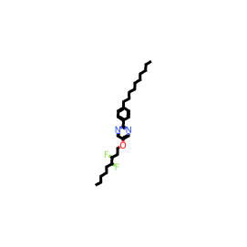 CCCCCCCCCCc1ccc(-c2ncc(OCCC(F)C(F)CCCCC)cn2)cc1